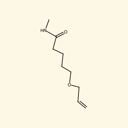 C=CCOCCCCC(=O)NC